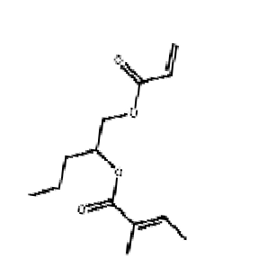 C=CC(=O)OCC(CCC)OC(=O)C(C)=CC